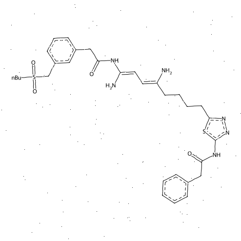 CCCCS(=O)(=O)Cc1cccc(CC(=O)N/C(N)=C/C=C(\N)CCCCc2nnc(NC(=O)Cc3ccccc3)s2)c1